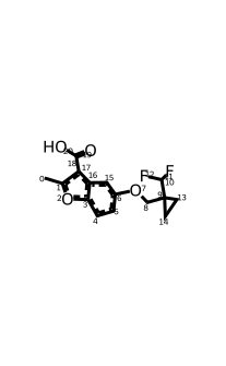 Cc1oc2ccc(OCC3(C(F)F)CC3)cc2c1C(=O)O